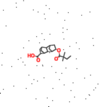 CCC(C)(C)C(=O)OC1CC2CC1C1C3CC(CC3C(=O)O)C21